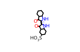 O=C1/C(=C2/NC3CCC(S(=O)(=O)O)CC3C2=O)NC2CCCCC12